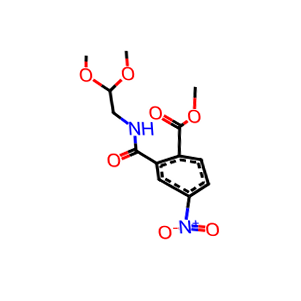 COC(=O)c1ccc([N+](=O)[O-])cc1C(=O)NCC(OC)OC